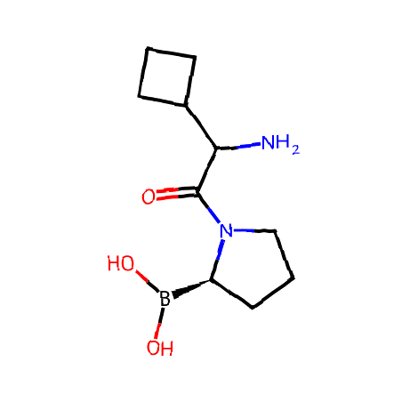 NC(C(=O)N1CCC[C@H]1B(O)O)C1CCC1